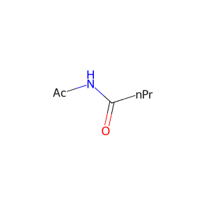 CCCC(=O)NC(C)=O